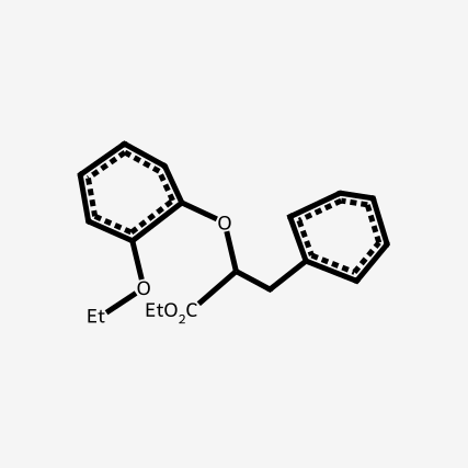 CCOC(=O)C(Cc1ccccc1)Oc1ccccc1OCC